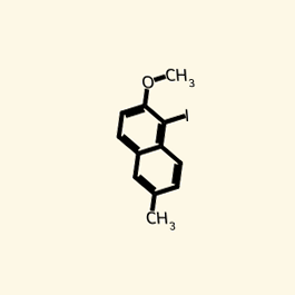 COc1ccc2cc(C)ccc2c1I